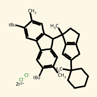 Cc1cc2c(cc1C(C)(C)C)-c1cc(C(C)(C)C)c(C)cc1C2C1(C)CCC2=C1C=C(C1(C)CCCCC1)C2.[Cl-].[Cl-].[Zr+2]